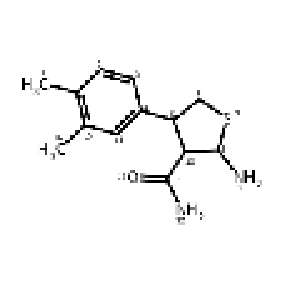 Cc1ccc(C2CSC(N)C2C(N)=O)cc1C